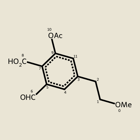 COCCc1cc(C=O)c(C(=O)O)c(OC(C)=O)c1